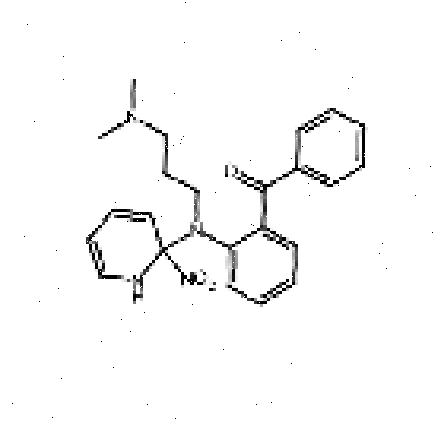 CN(C)CCCN(c1ccccc1C(=O)c1ccccc1)C1([N+](=O)[O-])C=CC=CN1